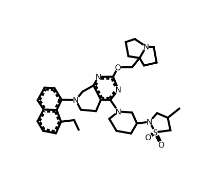 CCc1cccc2cccc(N3CCc4c(nc(OCC56CCCN5CCC6)nc4N4CCCC(N5CC(C)CS5(=O)=O)C4)C3)c12